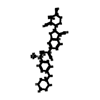 O=C1CCC(N2Cc3cc(C(=O)N[C@H](c4ccc(CN5CCOCC5)cc4)C(F)(F)F)ccc3C2=O)C(=O)N1